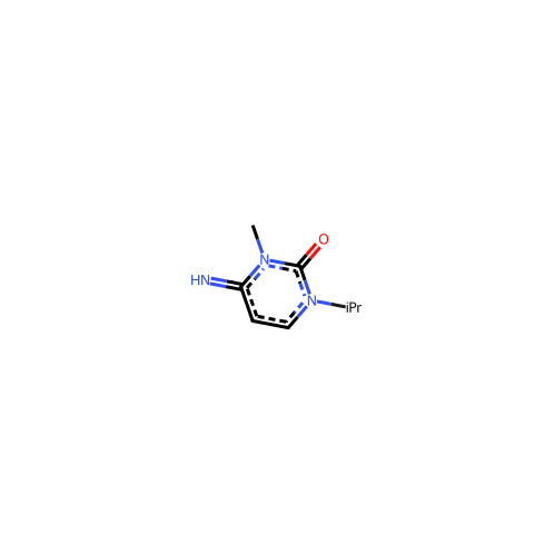 CC(C)n1ccc(=N)n(C)c1=O